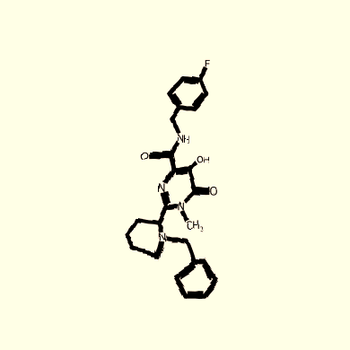 Cn1c(C2CCCCN2Cc2ccccc2)nc(C(=O)NCc2ccc(F)cc2)c(O)c1=O